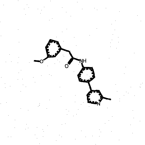 COc1cccc(CC(=O)Nc2ccc(-c3ccnc(C)c3)cc2)c1